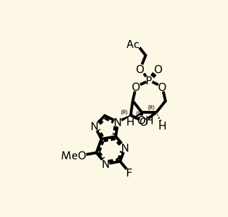 COc1nc(F)nc2c1ncn2[C@@H]1O[C@@H]2COP(=O)(OCC(C)=O)OC1[C@H]2O